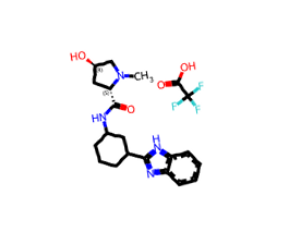 CN1C[C@H](O)C[C@H]1C(=O)NC1CCCC(c2nc3ccccc3[nH]2)C1.O=C(O)C(F)(F)F